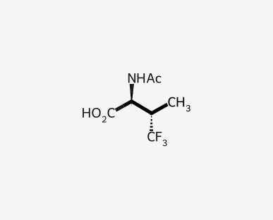 CC(=O)N[C@H](C(=O)O)[C@H](C)C(F)(F)F